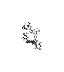 CC[C@@H](CCC(C)C1CCc2cccc(c2)[S+]([O-])Nc2nc(cc(-c3c(C)cccc3C)n2)OC[C@H]1CC(C)(C)C)N1CCOCC1